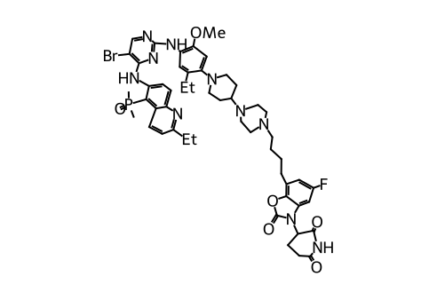 CCc1ccc2c(P(C)(C)=O)c(Nc3nc(Nc4cc(CC)c(N5CCC(N6CCN(CCCCc7cc(F)cc8c7oc(=O)n8C7CCC(=O)NC7=O)CC6)CC5)cc4OC)ncc3Br)ccc2n1